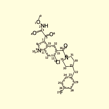 CONC(=O)C(=O)c1cn(C)c2cc(Cl)c(C(=O)N3CCC(Cc4ccc(F)cc4)CC3)cc12